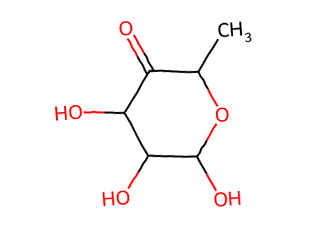 CC1OC(O)C(O)C(O)C1=O